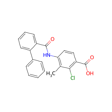 Cc1c(NC(=O)c2ccccc2-c2ccccc2)ccc(C(=O)O)c1Cl